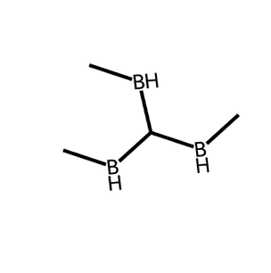 CBC(BC)BC